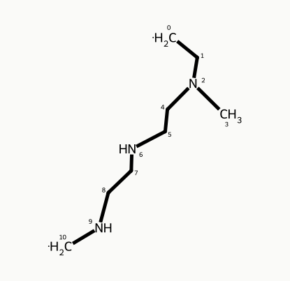 [CH2]CN(C)CCNCCN[CH2]